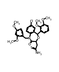 COc1ccc(CN2C(=O)C(CC(N)=S)OC(c3cccc(OC)c3OC)c3cc(Cl)ccc32)c(OC)c1